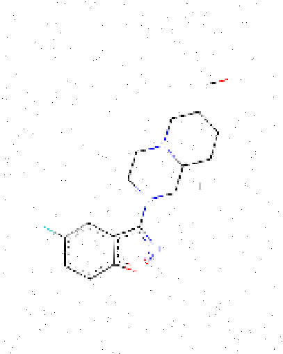 OC[C@@H]1CC[C@H]2CN(c3noc4ccc(F)cc34)CCN2C1